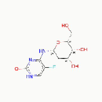 O=c1nc(N[C@H]2C[C@@H](O)[C@@H](O)[C@@H](CO)O2)c(F)c[nH]1